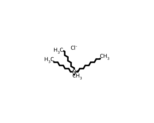 CCCCCCCCCC[N+](C)(CCCCCCCC)CCCCCCCC.[Cl-]